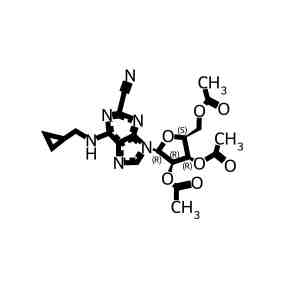 CC(=O)OC[C@@H]1O[C@@H](n2cnc3c(NCC4CC4)nc(C#N)nc32)[C@H](OC(C)=O)[C@@H]1OC(C)=O